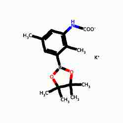 Cc1cc(NC(=O)[O-])c(C)c(B2OC(C)(C)C(C)(C)O2)c1.[K+]